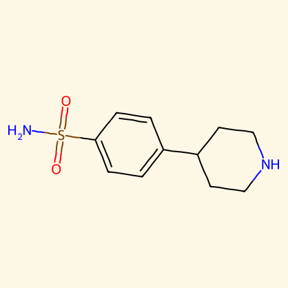 NS(=O)(=O)c1ccc(C2CCNCC2)cc1